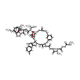 CNC(=O)CCC(=O)N[C@@H](C)C(=O)NCC(=O)NC1Cc2cccc(c2)CNC(=O)CO[C@H]2CCN(C(=O)[C@H](Cc3c[nH]c4ccc(F)cc34)NC1=O)[C@@H]2C(=O)N[C@H](C(=O)N[C@@H](Cc1ccc(OC)cc1)C(=O)N1CCC[C@@]1(C)C(=O)NC)[C@@H](C)O